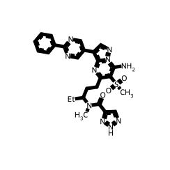 CCC(CCc1nc2c(-c3cnc(-c4ccccc4)nc3)cnn2c(N)c1S(C)(=O)=O)N(C)C(=O)c1cn[nH]n1